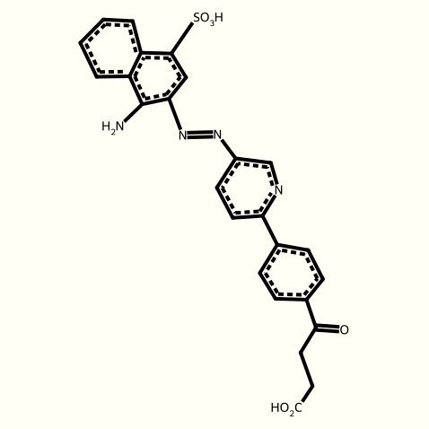 Nc1c(/N=N/c2ccc(-c3ccc(C(=O)CCC(=O)O)cc3)nc2)cc(S(=O)(=O)O)c2ccccc12